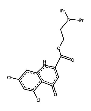 CC(C)N(CCOC(=O)c1cc(=O)c2c(Cl)cc(Cl)cc2[nH]1)C(C)C